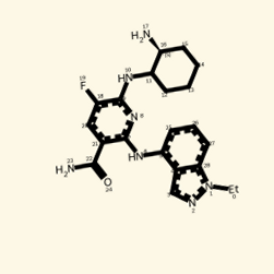 CCn1ncc2c(Nc3nc(NC4CCCC[C@@H]4N)c(F)cc3C(N)=O)cccc21